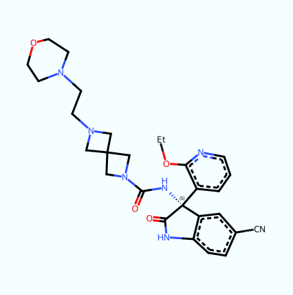 CCOc1ncccc1[C@]1(NC(=O)N2CC3(CN(CCN4CCOCC4)C3)C2)C(=O)Nc2ccc(C#N)cc21